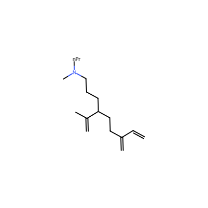 C=CC(=C)CCC(CCCN(C)CCC)C(=C)C